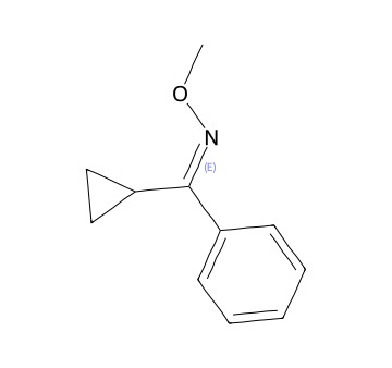 CO/N=C(/c1ccccc1)C1CC1